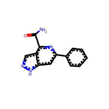 NC(=O)c1nc(-c2ccccc2)cc2[nH]n[c]c12